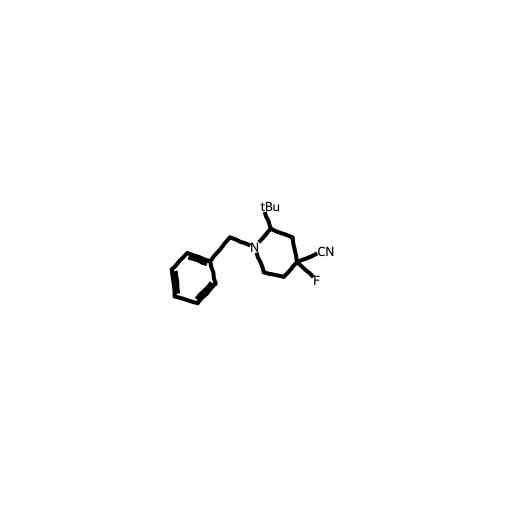 CC(C)(C)C1CC(F)(C#N)CCN1Cc1ccccc1